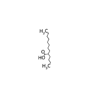 C=CCCCCCCC(CCCC)C(=O)O